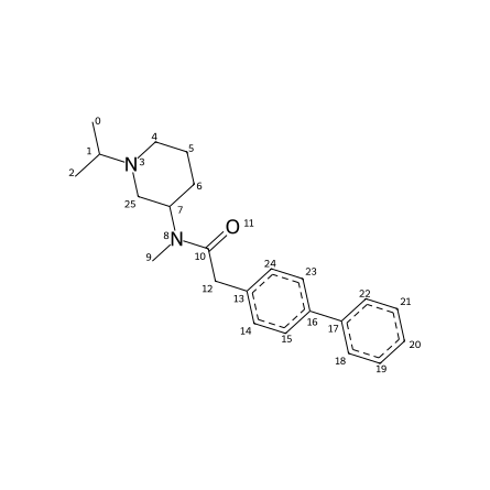 CC(C)N1CCCC(N(C)C(=O)Cc2ccc(-c3ccccc3)cc2)C1